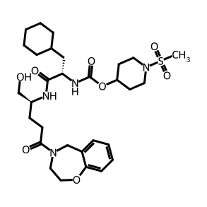 CS(=O)(=O)N1CCC(OC(=O)N[C@@H](CC2CCCCC2)C(=O)N[C@H](CO)CCC(=O)N2CCOc3ccccc3C2)CC1